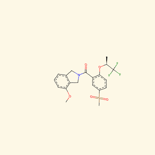 COc1cccc2c1CN(C(=O)c1cc(S(C)(=O)=O)ccc1O[C@@H](C)C(F)(F)F)C2